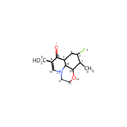 CC1C(F)CC2C(=O)C(C(=O)O)=CN3CCOC1C23